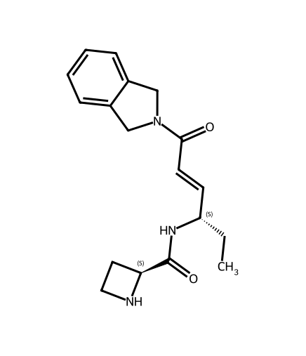 CC[C@@H](C=CC(=O)N1Cc2ccccc2C1)NC(=O)[C@@H]1CCN1